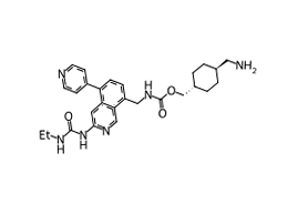 CCNC(=O)Nc1cc2c(-c3ccncc3)ccc(CNC(=O)OC[C@H]3CC[C@H](CN)CC3)c2cn1